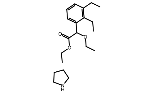 C1CCNC1.CCOC(=O)C(OCC)c1cccc(CC)c1CC